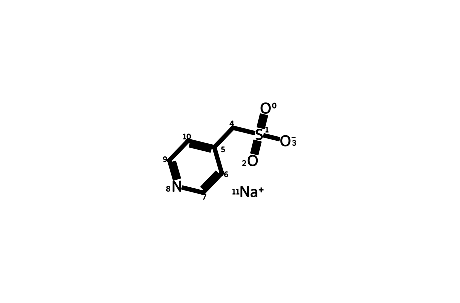 O=S(=O)([O-])Cc1ccncc1.[Na+]